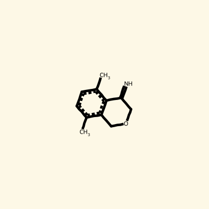 Cc1ccc(C)c2c1COCC2=N